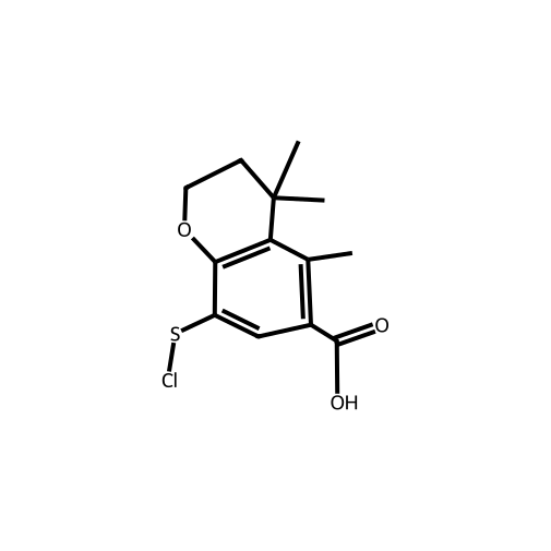 Cc1c(C(=O)O)cc(SCl)c2c1C(C)(C)CCO2